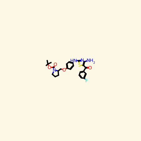 CC(C)(C)OC(=O)N1CCCC1COc1ccc(Nc2nc(N)c(C(=O)c3cccc(F)c3)s2)cc1